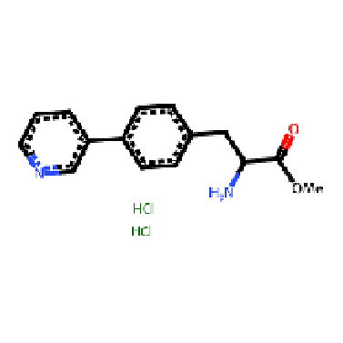 COC(=O)C(N)Cc1ccc(-c2cccnc2)cc1.Cl.Cl